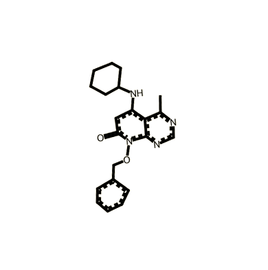 Cc1ncnc2c1c(NC1CCCCC1)cc(=O)n2OCc1ccccc1